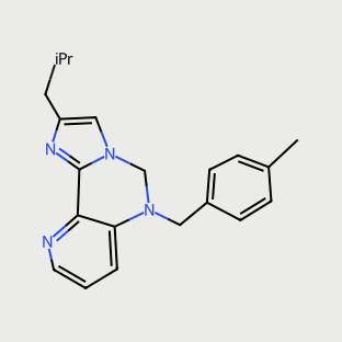 Cc1ccc(CN2Cn3cc(CC(C)C)nc3-c3ncccc32)cc1